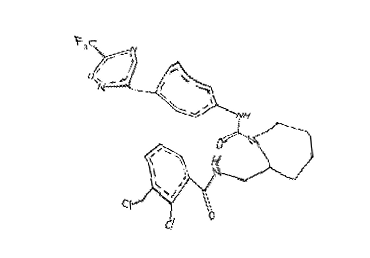 O=C(NCC1CCCCN1C(=O)Nc1ccc(-c2noc(C(F)(F)F)n2)cc1)c1cccc(Cl)c1Cl